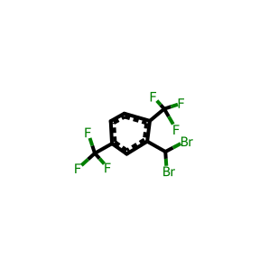 FC(F)(F)c1ccc(C(F)(F)F)c(C(Br)Br)c1